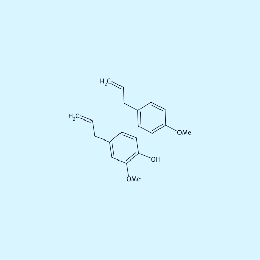 C=CCc1ccc(O)c(OC)c1.C=CCc1ccc(OC)cc1